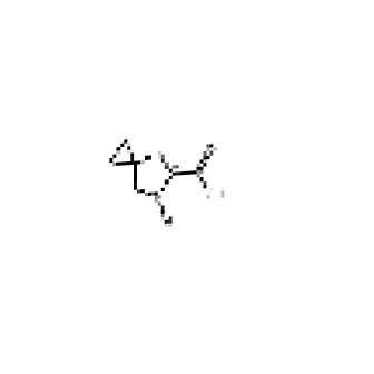 O=C(O)[C@@H]1CC2(CC2)CN1S